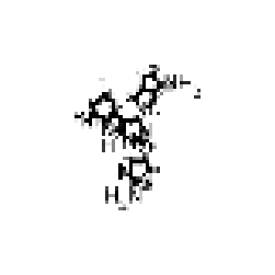 CNc1cc(F)cc2c1[nH]c1nc(Oc3cnc(N)nc3)nc(N3CC4CCC(N)C4C3)c12